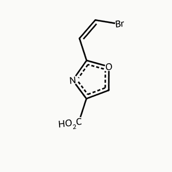 O=C(O)c1coc(/C=C\Br)n1